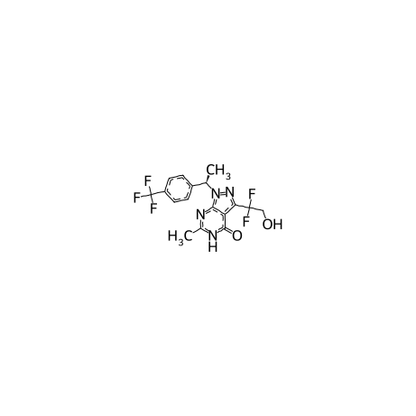 Cc1nc2c(c(C(F)(F)CO)nn2[C@H](C)c2ccc(C(F)(F)F)cc2)c(=O)[nH]1